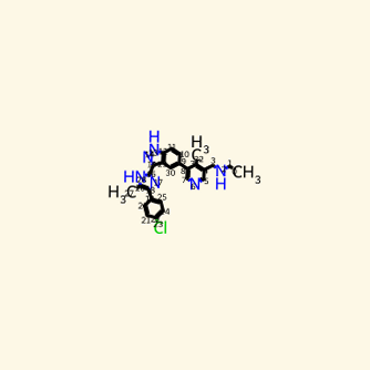 CCNCc1cncc(-c2ccc3[nH]nc(-c4nc(-c5ccc(Cl)cc5)c(C)[nH]4)c3c2)c1C